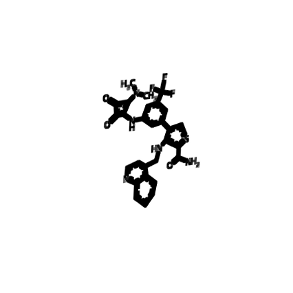 CN(C)c1c(Nc2cc(-c3csc(C(N)=O)c3NCc3ccnc4ccccc34)cc(C(F)(F)F)c2)c(=O)c1=O